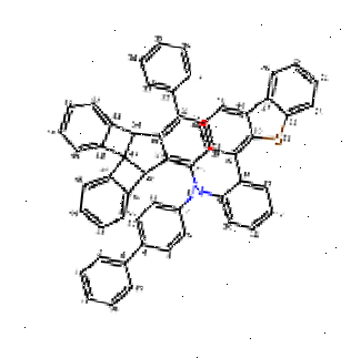 c1ccc(-c2ccc(N(c3ccccc3-c3cccc4c3sc3ccccc34)c3ccc(-c4ccccc4)c4c3C3c5ccccc5C35c3ccccc3C45)cc2)cc1